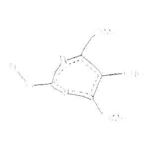 CCOc1nc(OC)c(C=O)c(OC)n1